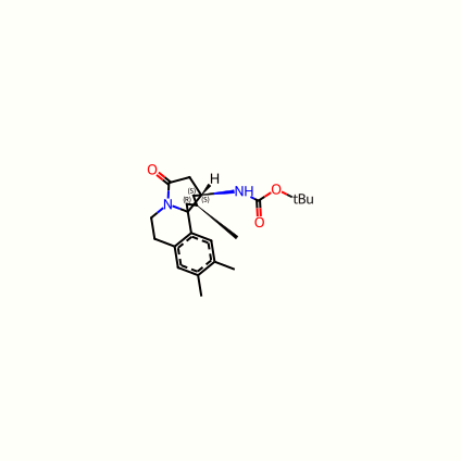 Cc1cc2c(cc1C)C13C[C@H](C)[C@@H](NC(=O)OC(C)(C)C)[C@@H]1CC(=O)N3CC2